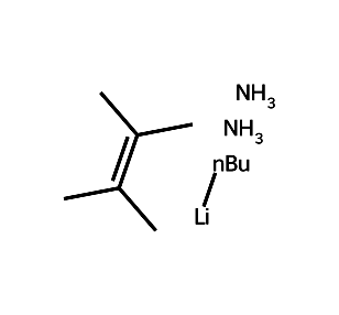 CC(C)=C(C)C.N.N.[Li][CH2]CCC